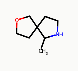 CC1NCCC12CCOC2